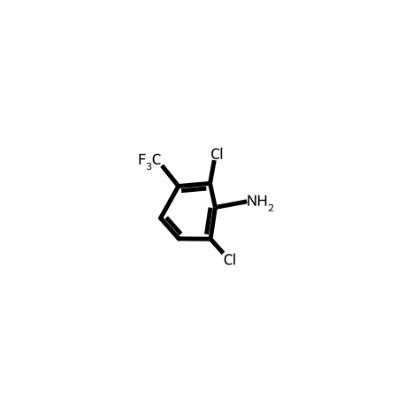 Nc1c(Cl)ccc(C(F)(F)F)c1Cl